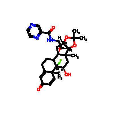 CC1(C)O[C@@H]2CC3C4CCC5=CC(=O)C=CC5(C)[C@@]4(F)[C@@H](O)CC3(C)[C@]2(C(=O)CNC(=O)c2cnccn2)O1